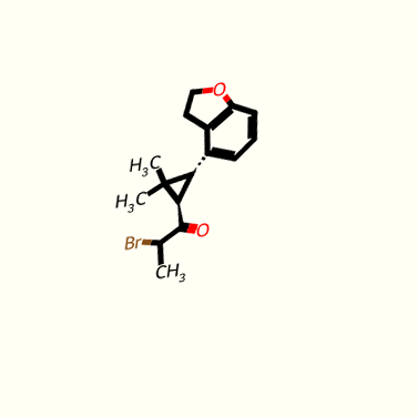 CC(Br)C(=O)[C@@H]1[C@@H](c2cccc3c2CCO3)C1(C)C